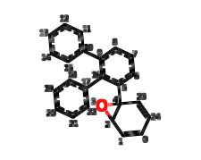 C1=CC2OC2(c2cccc(-c3ccccc3)c2-c2ccccc2)C=C1